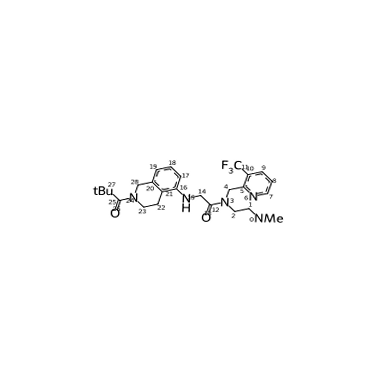 CNCCN(Cc1ncccc1C(F)(F)F)C(=O)CNc1cccc2c1CCN(C(=O)C(C)(C)C)C2